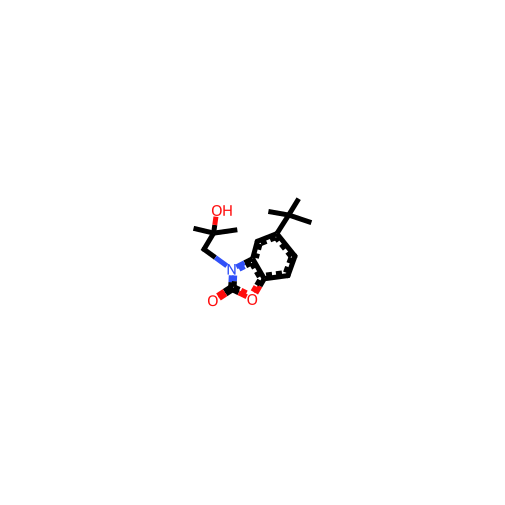 CC(C)(O)Cn1c(=O)oc2ccc(C(C)(C)C)cc21